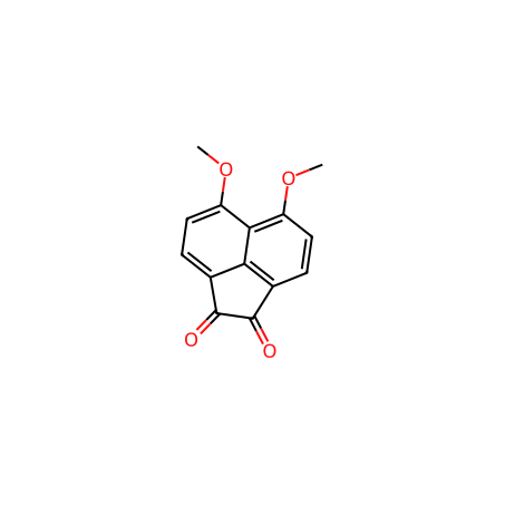 COc1ccc2c3c(ccc(OC)c13)C(=O)C2=O